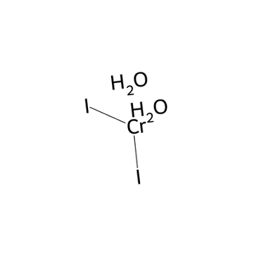 O.O.[I][Cr][I]